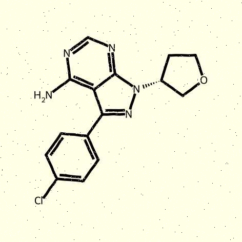 Nc1ncnc2c1c(-c1ccc(Cl)cc1)nn2[C@@H]1CCOC1